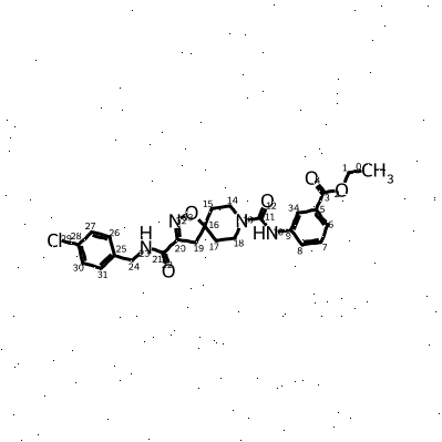 CCOC(=O)c1cccc(NC(=O)N2CCC3(CC2)CC(C(=O)NCc2ccc(Cl)cc2)=NO3)c1